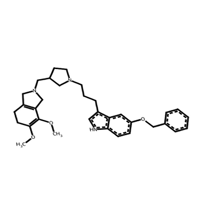 COC1=C(OC)C2=C(CC1)CN(CC1CCN(CCCc3c[nH]c4ccc(OCc5ccccc5)cc34)C1)C2